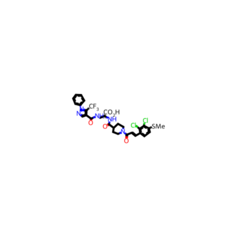 CSc1ccc(C=CC(=O)N2CCC(C(=O)N[C@@H](CNC(=O)c3cnn(-c4ccccc4)c3C(F)(F)F)C(=O)O)CC2)c(Cl)c1Cl